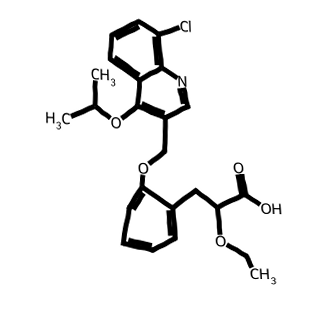 CCOC(Cc1ccccc1OCc1cnc2c(Cl)cccc2c1OC(C)C)C(=O)O